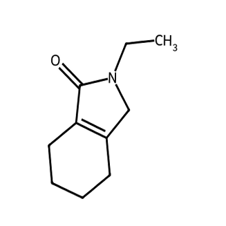 CCN1CC2=C(CCCC2)C1=O